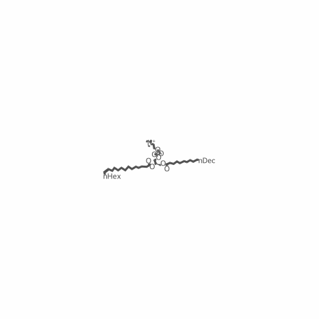 CCCCCC/C=C\CCCCCCCCCCCC(=O)O[C@H](COC(=O)CCCCCCCCCCCCCCCCCCC)COP(=O)([O-])OCC[N+](C)(C)C